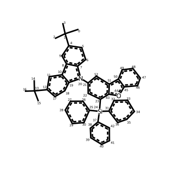 CC(C)(C)c1ccc2c(c1)c1cc(C(C)(C)C)ccc1n2-c1cc([Si](c2ccccc2)(c2ccccc2)c2ccccc2)c2oc3ccccc3c2c1